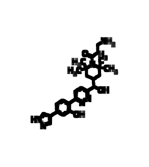 CC1(C)CC(C(O)c2ccc(-c3ccc(-c4cn[nH]c4)cc3O)nn2)CC(C)(C)N1C(=O)CCN